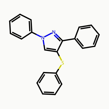 c1ccc(Sc2cn(-c3ccccc3)nc2-c2ccccc2)cc1